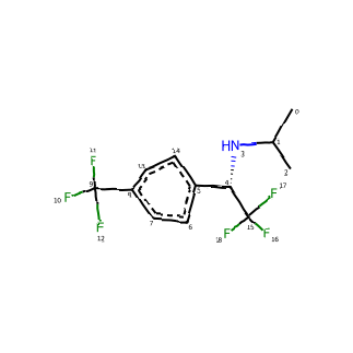 CC(C)N[C@@H](c1ccc(C(F)(F)F)cc1)C(F)(F)F